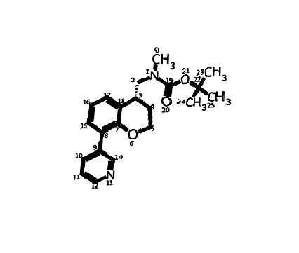 CN(C[C@@H]1CCOc2c(-c3cccnc3)cccc21)C(=O)OC(C)(C)C